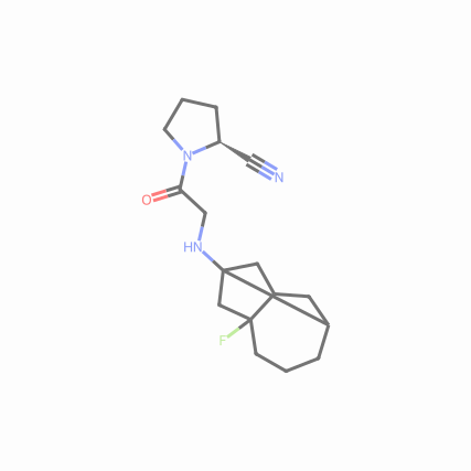 N#C[C@@H]1CCCN1C(=O)CNC12CC3CC1CCCC3(F)C2